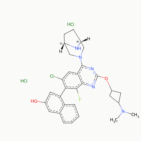 CN(C)C1CC(Oc2nc(N3C[C@H]4CC[C@@H](C3)N4)c3cc(Cl)c(-c4cc(O)cc5ccccc45)c(F)c3n2)C1.Cl.Cl